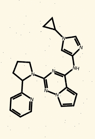 c1ccc(C2CCCN2c2nc(Nc3cn(C4CC4)cn3)c3cccn3n2)nc1